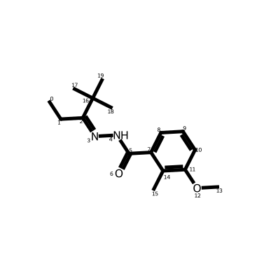 CCC(=NNC(=O)c1cccc(OC)c1C)C(C)(C)C